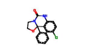 O=C1Nc2ccc(Cl)cc2C2(c3ccccc3)OCCN12